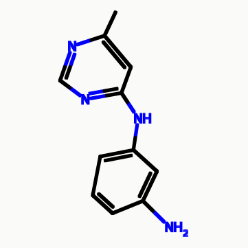 Cc1cc(Nc2cccc(N)c2)ncn1